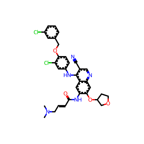 CN(C)CC=CC(=O)Nc1cc2c(Nc3ccc(OCc4cccc(Cl)c4)c(Cl)c3)c(C#N)cnc2cc1OC1CCOC1